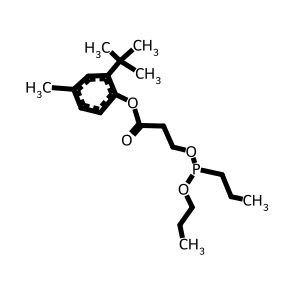 CCCOP(CCC)OCCC(=O)Oc1ccc(C)cc1C(C)(C)C